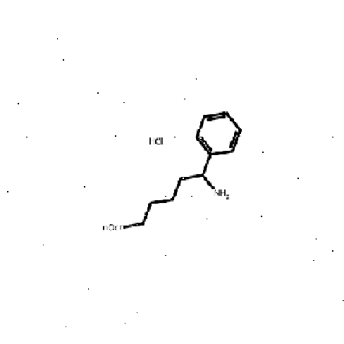 CCCCCCCCCCCCC(N)c1ccccc1.Cl